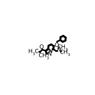 CC(C)C(=O)c1cnn2c(CN(C)C)c(OCc3ccccc3)ccc12